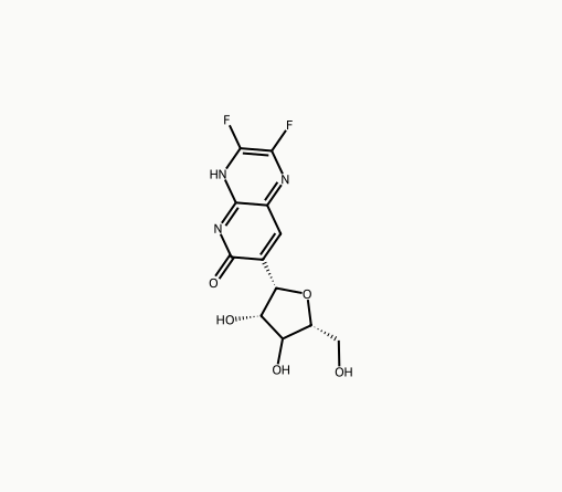 O=c1nc2[nH]c(F)c(F)nc-2cc1[C@@H]1O[C@H](CO)C(O)[C@@H]1O